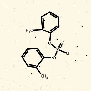 Cc1ccccc1OP(=O)(Cl)Oc1ccccc1C